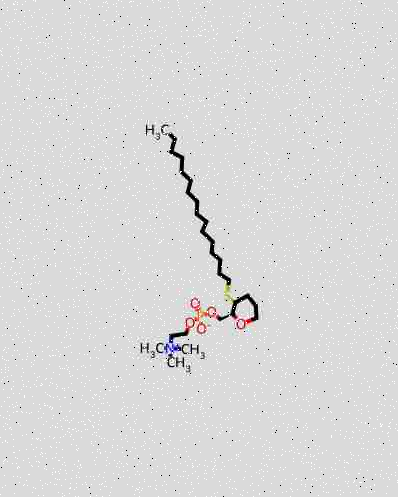 CCCCCCCCCCCCCCCCS[C@H]1CCCO[C@H]1COP(=O)([O-])OCC[N+](C)(C)C